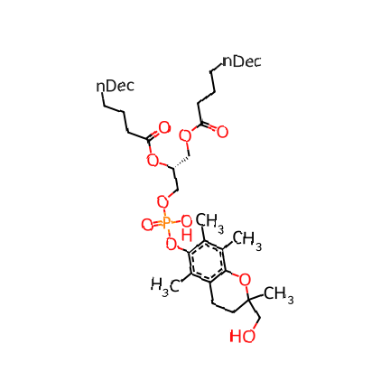 CCCCCCCCCCCCCC(=O)OC[C@H](COP(=O)(O)Oc1c(C)c(C)c2c(c1C)CCC(C)(CO)O2)OC(=O)CCCCCCCCCCCCC